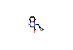 C#CCN1c2ccccc2N=CC1C=O